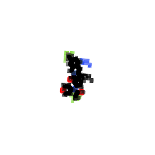 CC1C2Cc3c(N)cc(C(F)(F)F)cc3CN2C(=O)[C@]12CC[C@@H](N(C(=O)C(F)(F)F)C1CCOCC1)C2